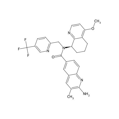 COc1ccnc2c1CCC[C@H]2N(Cc1ccc(C(F)(F)F)cn1)C(=O)c1ccc2nc(N)c(C)cc2c1